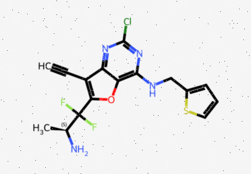 C#Cc1c(C(F)(F)[C@H](C)N)oc2c(NCc3cccs3)nc(Cl)nc12